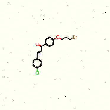 O=C(/C=C/c1ccc(Cl)cc1)c1ccc(OCCCBr)cc1